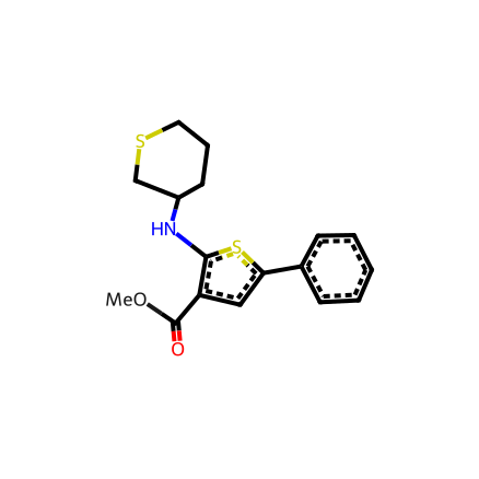 COC(=O)c1cc(-c2ccccc2)sc1NC1CCCSC1